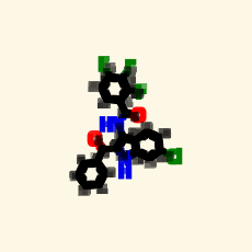 O=C(Nc1c(C(=O)c2ccccc2)[nH]c2cc(Cl)ccc12)c1ccc(F)c(F)c1F